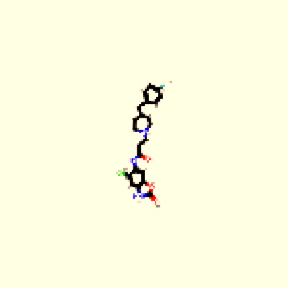 O=C(CCN1CCC(Cc2ccc(F)cc2)CC1)Nc1cc2oc(=O)[nH]c2cc1Cl